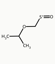 CC(C)OC[S+]=O